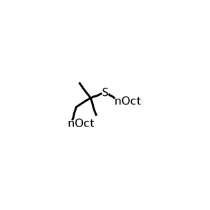 CCCCCCCCCC(C)(C)SCCCCCCCC